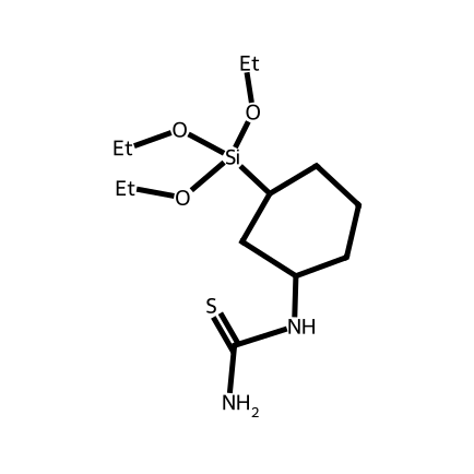 CCO[Si](OCC)(OCC)C1CCCC(NC(N)=S)C1